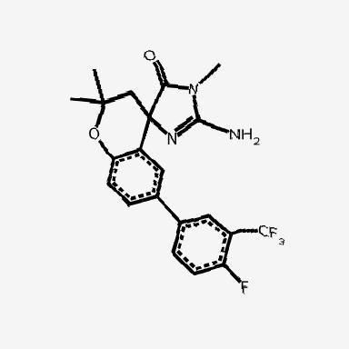 CN1C(=O)C2(CC(C)(C)Oc3ccc(-c4ccc(F)c(C(F)(F)F)c4)cc32)N=C1N